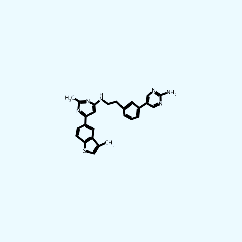 Cc1nc(NCCc2cccc(-c3cnc(N)nc3)c2)cc(-c2ccc3scc(C)c3c2)n1